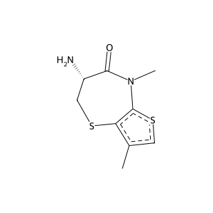 Cc1csc2c1SC[C@H](N)C(=O)N2C